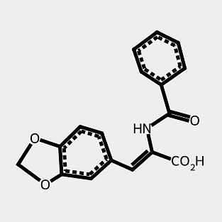 O=C(O)/C(=C/c1ccc2c(c1)OCO2)NC(=O)c1ccccc1